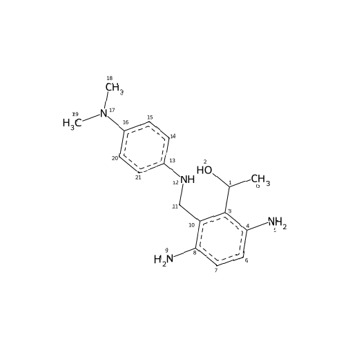 CC(O)c1c(N)ccc(N)c1CNc1ccc(N(C)C)cc1